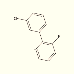 Fc1ccc[c]c1-c1cccc(Cl)c1